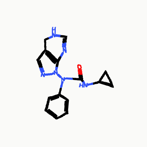 O=C(NC1CC1)N(c1ccccc1)n1ncc2c1N=CNC2